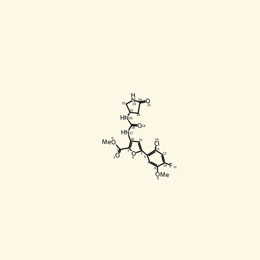 COC(=O)c1oc(-c2cc(OC)c(F)cc2Cl)cc1NC(=O)N[C@H]1CNC(=O)C1